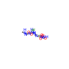 O=C1CCN(N2C(=O)c3ccc(CN4CCC(n5cc(NC(=O)c6coc(-c7ccnc(NCC8CC8)c7)n6)c(C(F)F)n5)CC4)cc3C2=O)C(=O)N1